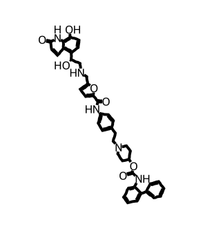 O=C(Nc1ccccc1-c1ccccc1)OC1CCN(CCc2ccc(NC(=O)c3ccc(CNC[C@@H](O)c4ccc(O)c5[nH]c(=O)ccc45)o3)cc2)CC1